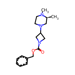 C[C@H]1CN(C2CN(C(=O)OCc3ccccc3)C2)CCN1C